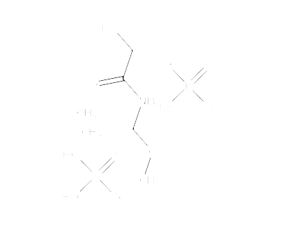 C.C.CCC(=O)NCOC.OP(O)(O)=S.OP(O)(O)=S